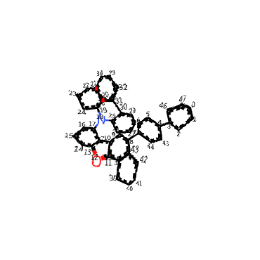 c1ccc(-c2ccc(-c3cc4c(oc5cccc(N(c6ccccc6)c6ccccc6-c6ccccc6)c54)c4ccccc34)cc2)cc1